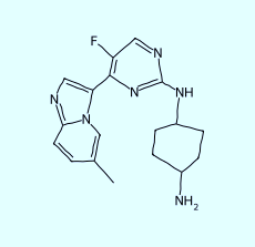 Cc1ccc2ncc(-c3nc(NC4CCC(N)CC4)ncc3F)n2c1